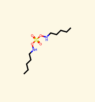 CCCCCNOS(=O)(=O)ONCCCCC